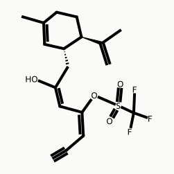 C#C/C=C(\C=C(\O)C[C@@H]1C=C(C)CC[C@H]1C(=C)C)OS(=O)(=O)C(F)(F)F